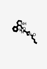 C=CCCC(=O)N1CC(c2nnc(C3NCCCC3c3ccccc3)o2)C1